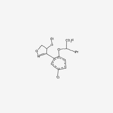 CCOC1CON=C1c1cc(Cl)ccc1OC(C(=O)O)C(C)C